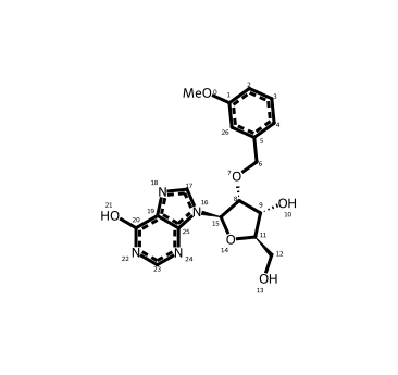 COc1cccc(CO[C@@H]2[C@H](O)[C@@H](CO)O[C@H]2n2cnc3c(O)ncnc32)c1